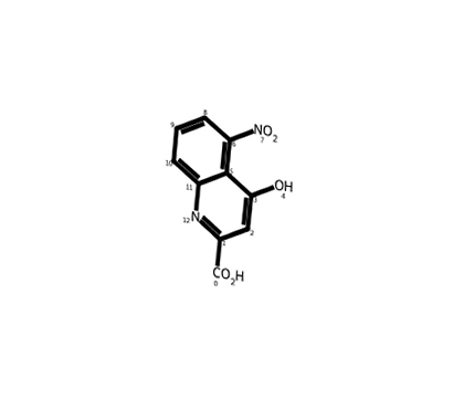 O=C(O)c1cc(O)c2c([N+](=O)[O-])cccc2n1